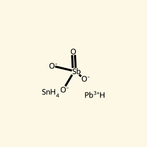 [O]=[Sb]([O-])([O-])[O-].[PbH+3].[SnH4]